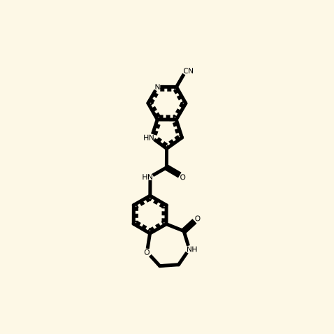 N#Cc1cc2cc(C(=O)Nc3ccc4c(c3)C(=O)NCCO4)[nH]c2cn1